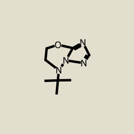 CC(C)(C)N1CCOc2ncnn21